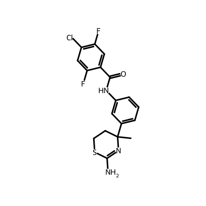 CC1(c2cccc(NC(=O)c3cc(F)c(Cl)cc3F)c2)CCSC(N)=N1